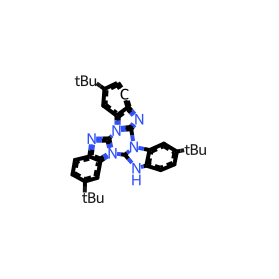 CC(C)(C)c1ccc2c(c1)N1c3nc4ccc(C(C)(C)C)cc4n3-c3nc4ccc(C(C)(C)C)cc4n3C1N2